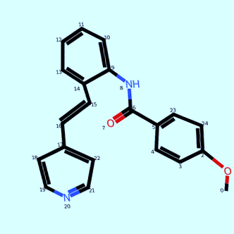 COc1ccc(C(=O)Nc2ccccc2C=Cc2ccncc2)cc1